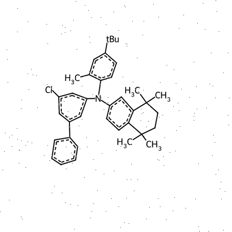 Cc1cc(C(C)(C)C)ccc1N(c1cc(Cl)cc(-c2ccccc2)c1)c1ccc2c(c1)C(C)(C)CCC2(C)C